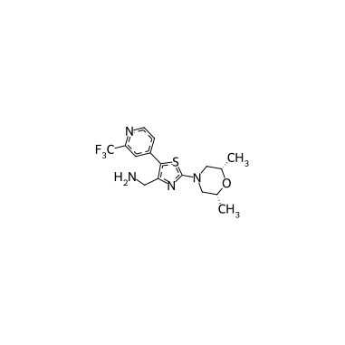 C[C@@H]1CN(c2nc(CN)c(-c3ccnc(C(F)(F)F)c3)s2)C[C@H](C)O1